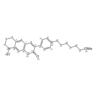 CCN1CCCc2cc3cc(-c4cc[n+](CCCCCCOC)cc4)c(=O)oc3cc21